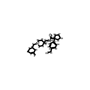 CC1=CCCC(CN2CCC(F)(CNC(=O)C3(c4ccc(CI)cc4)CCCC3)CC2)C1